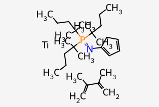 C=C(C)C(=C)C.CCCC(C)(C)P(=NC1=CC=CC1)(C(C)(C)CCC)C(C)(C)CCC.[Ti]